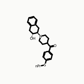 CCCSc1ccc(C(=O)C2CCN([C@@H]3Cc4ccccc4C[C@H]3O)CC2)cc1